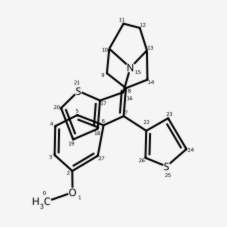 COc1cccc(C(=C2CC3CCC(C2)N3Cc2cccs2)c2ccsc2)c1